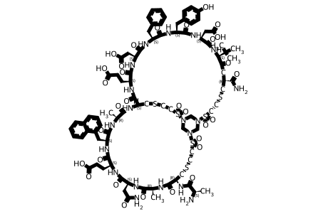 C[C@H](N)C(=O)N[C@H]1CSCCS(=O)(=O)N2CN3CN(C2)S(=O)(=O)CCSC[C@@H](NC(=O)[C@@H](C)NC(=O)[C@H](Cc2cccc4ccccc24)NC(=O)[C@H](CCC(=O)O)NC(=O)[C@H](CC(N)=O)NC(=O)[C@@H](C)NC1=O)C(=O)N[C@@H](CCC(=O)O)C(=O)N[C@@H](CC(=O)O)C(=O)N[C@@H](Cc1ccccc1)C(=O)N[C@@H](Cc1ccc(O)cc1)C(=O)N[C@@H](CC(=O)O)C(=O)N[C@@H](C(C)(C)C)C(=O)C[C@H](C(N)=O)CSCCS3(=O)=O